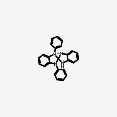 c1ccc(N2c3ccccc3N(c3ccccc3)C23Nc2ccccc2N3)cc1